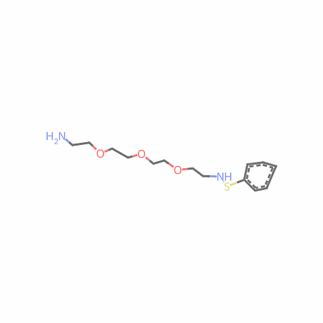 NCCOCCOCCOCCNSc1ccccc1